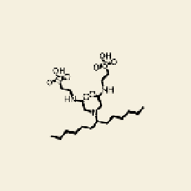 CCCCCCC(CCCCCC)N(CC(=O)NCCS(=O)(=O)O)CC(=O)NCCS(=O)(=O)O